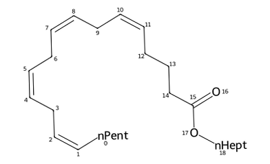 CCCCC/C=C\C/C=C\C/C=C\C/C=C\CCCC(=O)OCCCCCCC